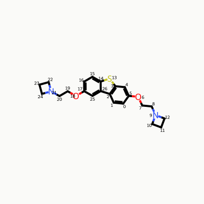 c1cc2c(cc1OCCN1CCC1)sc1ccc(OCCN3CCC3)cc12